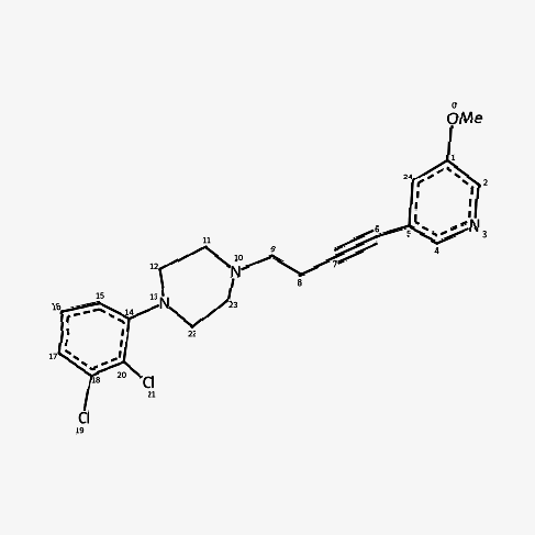 COc1cncc(C#CCCN2CCN(c3cccc(Cl)c3Cl)CC2)c1